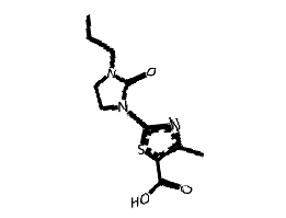 CCCN1CCN(c2nc(C)c(C(=O)O)s2)C1=O